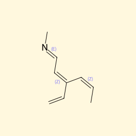 C=CC(/C=C\C)=C/C=N/C